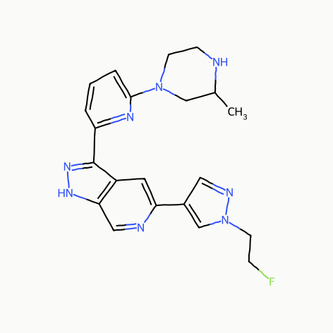 CC1CN(c2cccc(-c3n[nH]c4cnc(-c5cnn(CCF)c5)cc34)n2)CCN1